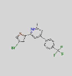 Cc1cc(-c2ccc(C(F)(F)F)cc2)cc(-c2cc(Br)cs2)n1